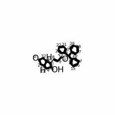 O=C1C[C@H]2C[C@@H](O)[C@H](C=CCOC(c3ccccc3)(c3ccccc3)c3ccccc3)[C@@H]2C1